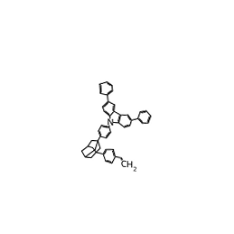 C=Cc1ccc(C23CC4CC(C2)CC(c2ccc(-n5c6ccc(-c7ccccc7)cc6c6cc(-c7ccccc7)ccc65)cc2)(C4)C3)cc1